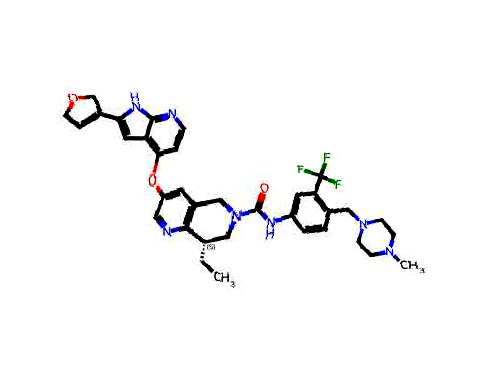 CC[C@H]1CN(C(=O)Nc2ccc(CN3CCN(C)CC3)c(C(F)(F)F)c2)Cc2cc(Oc3ccnc4[nH]c(C5=CCOC5)cc34)cnc21